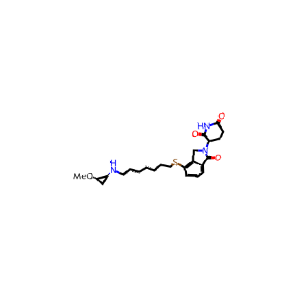 CO[C@@H]1C[C@H]1NCCCCCCCSc1cccc2c1CN(C1CCC(=O)NC1=O)C2=O